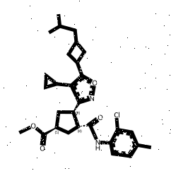 COC(=O)[C@@H]1C[C@@H](C(=O)Nc2ccc(C)cc2Cl)[C@H](c2noc(C3CC(CC(C)C)C3)c2C2CC2)C1